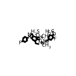 COC(=O)C12Cc3cnn(-c4ccc(F)cc4)c3C=C1CCN(N(C)SOc1cc(F)c(OC)c(F)c1)C2.S